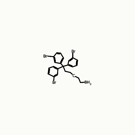 BCCCCCC(c1cccc(Br)c1)(c1cccc(Br)c1)c1cccc(Br)c1